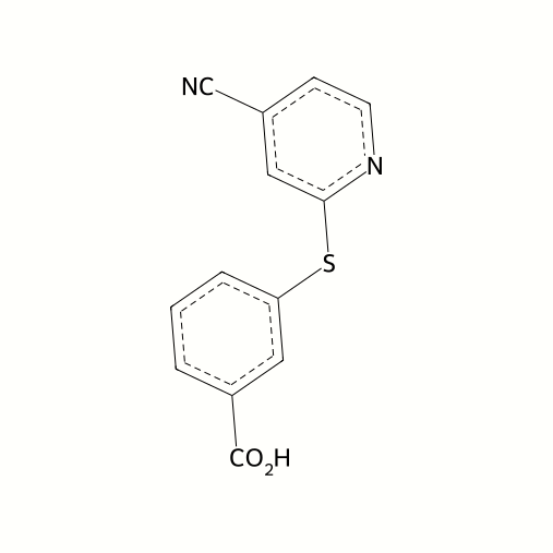 N#Cc1ccnc(Sc2cccc(C(=O)O)c2)c1